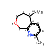 CNC1CCOCc2nc(C(F)(F)F)ccc21